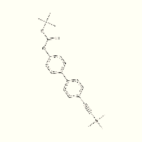 CC(C)(C)OC(=O)Oc1ccc(-c2ccc(C#C[Si](C)(C)C)cc2)cc1